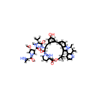 CCn1c(-c2cccnc2C(C)C)c2c3cc(ccc31)-c1cc(O)cc(c1)C[C@H](NC(=O)[C@H](C(C)C)N(C)C(=O)[C@@H]1CN(C(=O)[C@H]3CN3)C[C@@H]1OC)C(=O)N1CCC[C@H](N1)C(=O)OCC(C)(C)C2